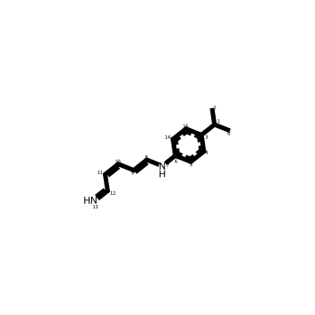 CC(C)c1ccc(N/C=C/C=C\C=N)cc1